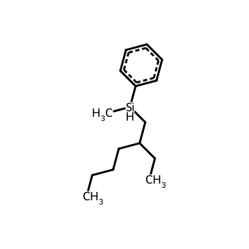 CCCCC(CC)C[SiH](C)c1ccccc1